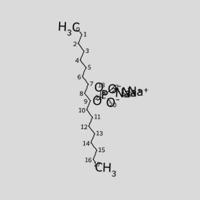 CCCCCCCCCCCCCCCCCC.O=P([O-])([O-])[O-].[Na+].[Na+].[Na+]